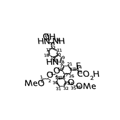 COCCOCOc1c(-c2cc3cc(C(=N)NO)ccc3[nH]2)cc(C(F)C(=O)O)cc1-c1ccccc1OCOC